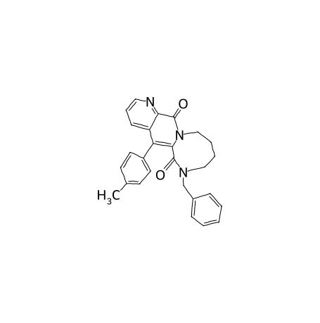 Cc1ccc(-c2c3n(c(=O)c4ncccc24)CCCCN(Cc2ccccc2)C3=O)cc1